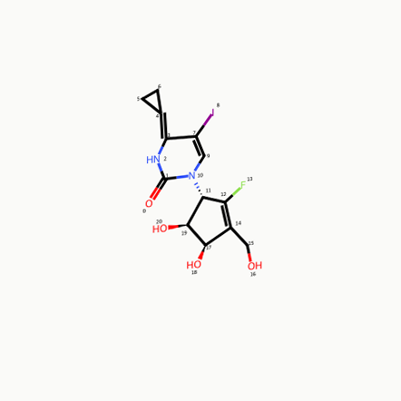 O=C1NC(=C2CC2)C(I)=CN1[C@@H]1C(F)=C(CO)[C@@H](O)[C@H]1O